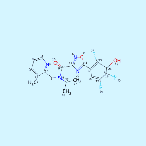 Cc1cccnc1CN(C(=O)c1noc(-c2cc(F)c(F)c(O)c2F)n1)C(C)C